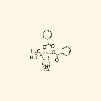 CC1(C)C(OC(=O)c2ccccc2)C(OC(=O)c2ccccc2)C2C1C1CCC2[N+]12CC2